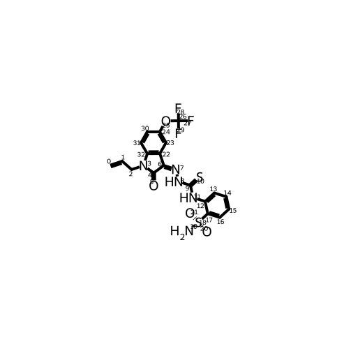 C=CCN1C(=O)C(=NNC(=S)Nc2ccccc2S(N)(=O)=O)c2cc(OC(F)(F)F)ccc21